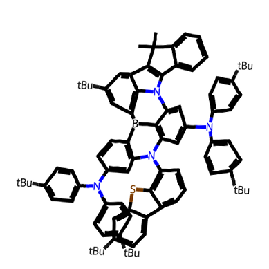 CC(C)(C)c1ccc(N(c2ccc(C(C)(C)C)cc2)c2ccc3c(c2)N(c2cccc4c2sc2cc(C(C)(C)C)ccc24)c2cc(N(c4ccc(C(C)(C)C)cc4)c4ccc(C(C)(C)C)cc4)cc4c2B3c2cc(C(C)(C)C)cc3c5c(n-4c23)-c2ccccc2C5(C)C)cc1